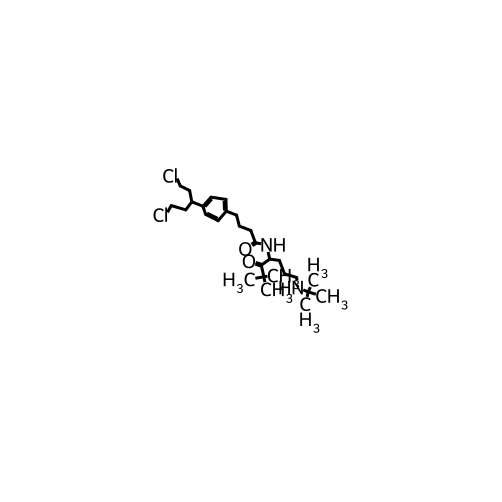 CC(C)(C)NCCCC(NC(=O)CCCc1ccc(C(CCCl)CCCl)cc1)C(=O)C(C)(C)C